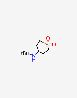 CC(C)(C)NC1CCS(=O)(=O)CC1